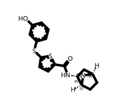 O=C(N[C@@H]1C[C@H]2CC[C@@H]1N2)c1ccc(Sc2cccc(O)c2)s1